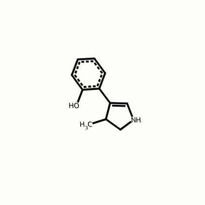 CC1CNC=C1c1ccccc1O